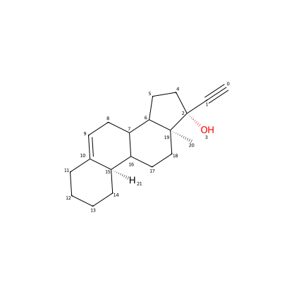 C#C[C@]1(O)CCC2C3CC=C4CCCC[C@@H]4C3CC[C@@]21C